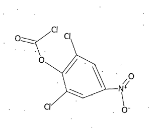 O=C(Cl)Oc1c(Cl)cc([N+](=O)[O-])cc1Cl